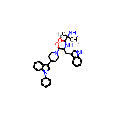 CC(C)(N)C(=O)NC(Cc1c[nH]c2ccccc12)C(=O)N1CCC(c2cn(-c3ccccc3)c3ccccc23)CC1